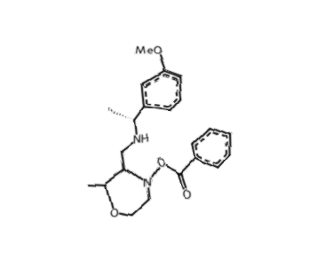 COc1cccc([C@@H](C)NCC2C(C)OCCN2OC(=O)c2ccccc2)c1